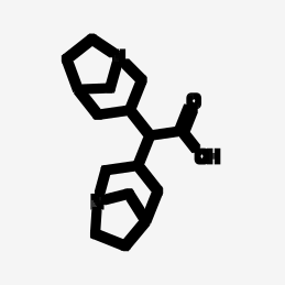 O=C(O)C(C1CC2CCN(C2)C1)C1CC2CCN(C2)C1